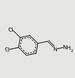 NN=Cc1ccc(Cl)c(Cl)c1